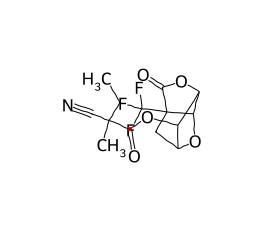 CCC(C)(C#N)C(=O)OC1C2CC3(C(F)(F)F)C(=O)OC1C3O2